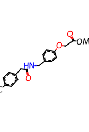 COC(=O)COc1ccc(CNC(=O)Cc2ccc(C#N)cc2)cc1